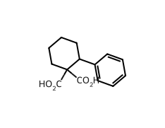 O=C(O)C1(C(=O)O)CCCCC1c1ccccc1